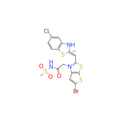 CS(=O)(=O)NC(=O)C[n+]1c(/C=C2/Nc3cc(Cl)ccc3S2)sc2sc(Br)cc21